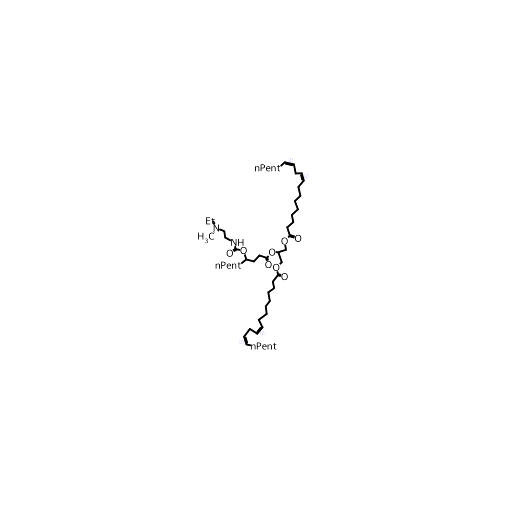 CCCCC/C=C\C/C=C\CCCCCCCC(=O)OCC(COC(=O)CCCCCCC/C=C\C/C=C\CCCCC)OC(=O)CCC(CCCCC)OC(=O)NCCN(C)CC